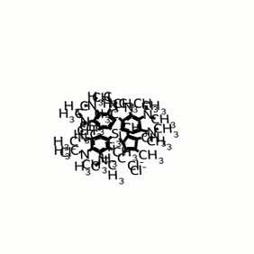 CC1=C(C)[C]([Ti+3])([Si](c2cc(N(C)C)c(N(C)C)c(N(C)C)c2C)(c2cc(N(C)C)c(N(C)C)c(N(C)C)c2C)c2cc(N(C)C)c(N(C)C)c(N(C)C)c2C)C(C)=C1C.[Cl-].[Cl-].[Cl-]